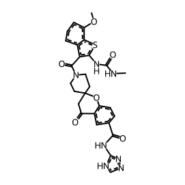 CNC(=O)Nc1sc2c(OC)cccc2c1C(=O)N1CCC2(CC1)CC(=O)c1cc(C(=O)Nc3nnc[nH]3)ccc1O2